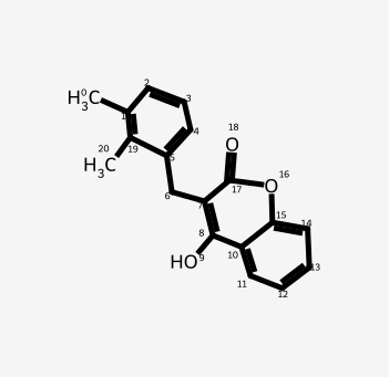 Cc1cccc(Cc2c(O)c3ccccc3oc2=O)c1C